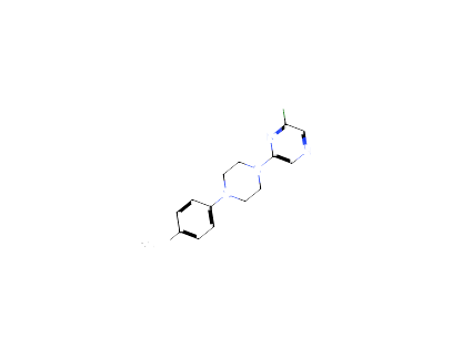 COc1ccc(N2CCN(c3cncc(Cl)n3)CC2)cc1